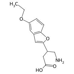 CCOc1ccc2oc(C(CN)CC(=O)O)cc2c1